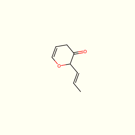 CC=CC1OC=CCC1=O